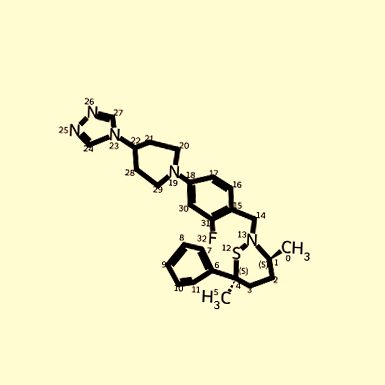 C[C@H]1CC[C@@](C)(c2ccccc2)SN1Cc1ccc(N2CCC(n3cnnc3)CC2)cc1F